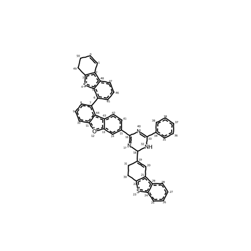 C1=Cc2c(sc3c(-c4cccc5oc6cc(C7=NC(C8=Cc9c(sc%10ccccc9%10)CC8)NC(c8ccccc8)=N7)ccc6c45)cccc23)CC1